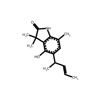 CC=CC(C)c1cc(C)c2c(c1O)C(C)(C)C(=O)N2